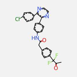 CC(=O)C(F)(F)c1ccc(CC(=O)Nc2ccc(-c3nccnc3-c3ccc(Cl)cc3)cc2)cc1